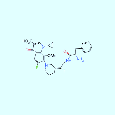 COc1c(N2CCC/C(=C(\F)CNC(=O)[C@@H](N)Cc3ccccc3)C2)c(F)cc2c(=O)c(C(=O)O)cn(C3CC3)c12